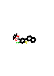 CC1(C)OB(c2cc3c(cc2Cl)sc2c4ccccc4ccc32)OC1(C)C